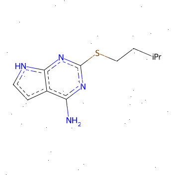 CC(C)CCSc1nc(N)c2cc[nH]c2n1